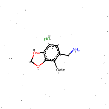 COc1c(CN)ccc2c1OCO2.Cl